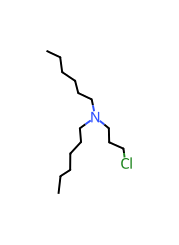 CCCCCCN(CCCCl)CCCCCC